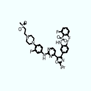 CC(C)c1nc(-c2ccc(F)c(NS(=O)(=O)c3c(F)cccc3F)c2)c(-c2ccnc(Nc3ccc(N4CCN(CCS(C)(=O)=O)CC4)c(F)c3)n2)o1